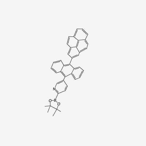 CC1(C)OB(c2ccc(-c3c4ccccc4c(-c4cc5ccc6cccc7ccc(c4)c5c67)c4ccccc34)cn2)OC1(C)C